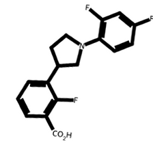 O=C(O)c1cccc(C2CCN(c3ccc(F)cc3F)C2)c1F